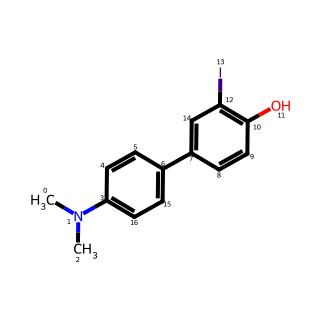 CN(C)c1ccc(-c2ccc(O)c(I)c2)cc1